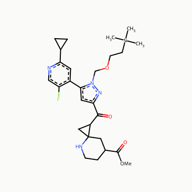 COC(=O)C1CCNC2(C1)CC2C(=O)c1cc(-c2cc(C3CC3)ncc2F)n(COCC[Si](C)(C)C)n1